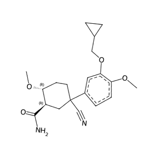 COc1ccc(C2(C#N)CC[C@@H](OC)[C@H](C(N)=O)C2)cc1OCC1CC1